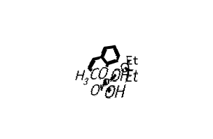 C/C=C\c1ccccc1OP(=O)(O)O.CCOCC